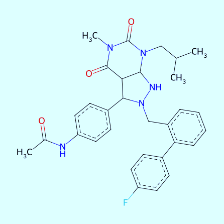 CC(=O)Nc1ccc(C2C3C(=O)N(C)C(=O)N(CC(C)C)C3NN2Cc2ccccc2-c2ccc(F)cc2)cc1